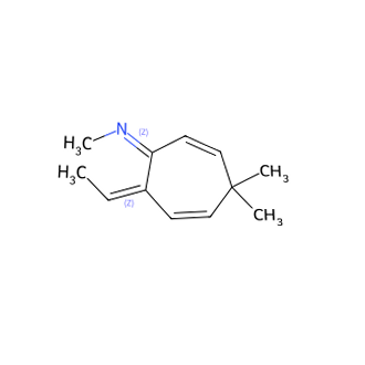 C/C=C1/C=CC(C)(C)C=C/C1=N/C